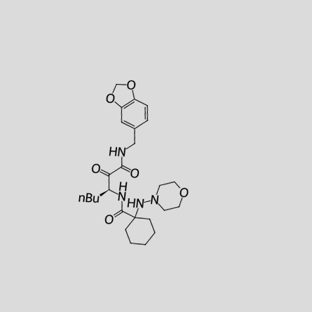 CCCC[C@H](NC(=O)C1(NN2CCOCC2)CCCCC1)C(=O)C(=O)NCc1ccc2c(c1)OCO2